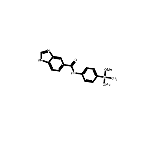 CO[Si](C)(OC)c1ccc(NC(=O)c2ccc3[nH]cnc3c2)cc1